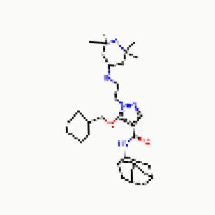 CC1(C)CC(NCCn2ncc(C(=O)NC3C4CC5CC(C4)CC3C5)c2OCC2CCCCC2)CC(C)(C)N1